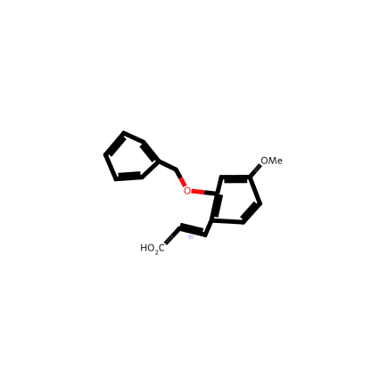 COc1ccc(/C=C/C(=O)O)c(OCc2ccccc2)c1